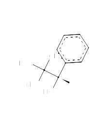 CC(C)(C)[C@@](C)(O)c1ccccc1